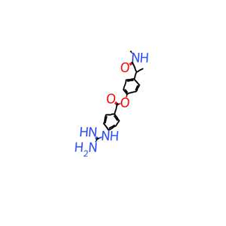 CNC(=O)C(C)c1ccc(OC(=O)c2ccc(NC(=N)N)cc2)cc1